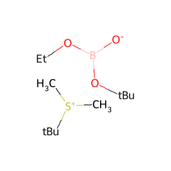 CCOB([O-])OC(C)(C)C.C[S+](C)C(C)(C)C